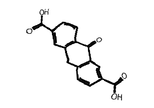 O=C(O)c1ccc2c(c1)Cc1ccc(C(=O)O)cc1C2=O